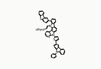 CCCCC/C=C/n1c2c(-c3ccc4sc5ccccc5c4c3)cccc2c2ccc3c(c4cccnc4n3-c3ccc(-c4ccc5c(c4)c4ccccc4n5-c4ccccc4)s3)c21